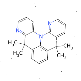 CC1(C)c2cccnc2N2c3cccnc3C(C)(C)c3cccc1c32